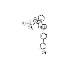 C[Si](C)(C)CCC(C(=O)O)[C@]1(c2ccc(-c3ccc(-c4ccc(C#N)cc4)cc3)s2)CCCCS1(=O)=O